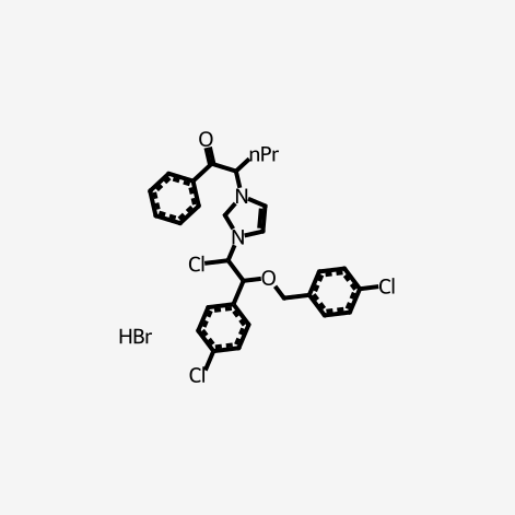 Br.CCCC(C(=O)c1ccccc1)N1C=CN(C(Cl)C(OCc2ccc(Cl)cc2)c2ccc(Cl)cc2)C1